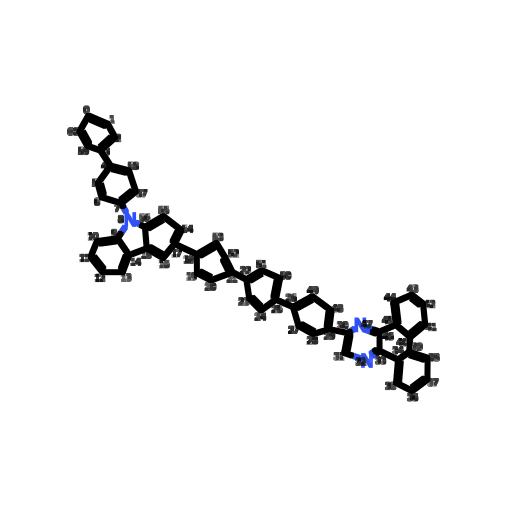 c1ccc(-c2ccc(-n3c4ccccc4c4cc(-c5ccc(-c6ccc(-c7ccc(-c8cnc9c%10ccccc%10c%10ccccc%10c9n8)cc7)cc6)cc5)ccc43)cc2)cc1